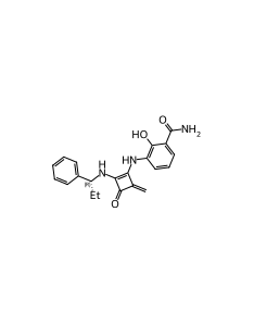 C=C1C(=O)C(N[C@H](CC)c2ccccc2)=C1Nc1cccc(C(N)=O)c1O